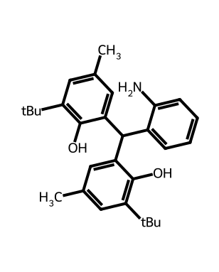 Cc1cc(C(c2ccccc2N)c2cc(C)cc(C(C)(C)C)c2O)c(O)c(C(C)(C)C)c1